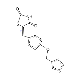 O=C1NC(=O)/C(=C\c2ccc(OCc3ccsc3)cc2)S1